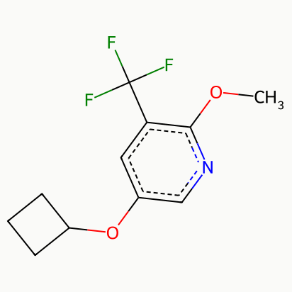 COc1ncc(OC2CCC2)cc1C(F)(F)F